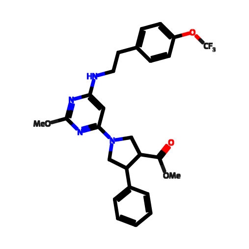 COC(=O)C1CN(c2cc(NCCc3ccc(OC(F)(F)F)cc3)nc(OC)n2)CC1c1ccccc1